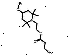 CC(=O)CCC(=O)OCCN1C(C)(C)CC(OC(C)C)CC1(C)C